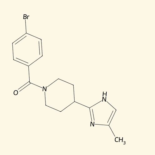 Cc1c[nH]c(C2CCN(C(=O)c3ccc(Br)cc3)CC2)n1